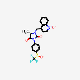 C[C@H]1C(=O)N(c2ccc([S+]([O-])C(F)(F)F)cc2)C(=O)N1Cc1cc[n+]([O-])c2ccccc12